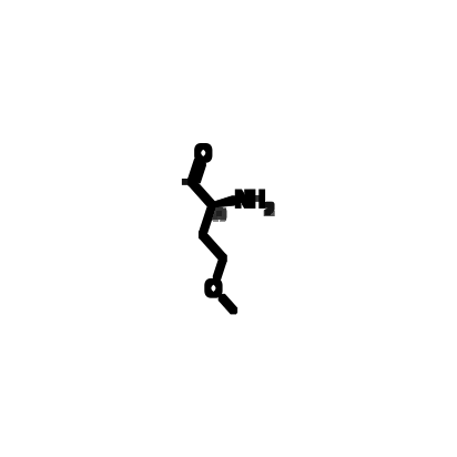 COCC[C@H](N)[C]=O